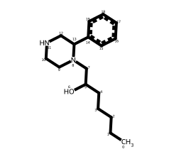 CCCCCC(O)CN1CCNCC1c1ccccc1